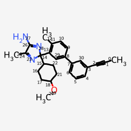 CC#Cc1cccc(-c2ccc(C)c(C3(C4CCC(OC)CC4)N=C(C)C(N)=N3)c2)c1